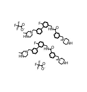 C[C@H]1CN(Cc2cccc(-c3cc(CNC(=O)c4cccc(C[N+]5(C)CCNCC5)c4)ccc3F)c2)CCN1.C[C@H]1CN(Cc2cccc(-c3cc(CNC(=O)c4cccc(C[N+]5(C)CCNCC5)c4)ccc3F)c2)CCN1.O=C([O-])C(F)(F)F.O=C([O-])C(F)(F)F